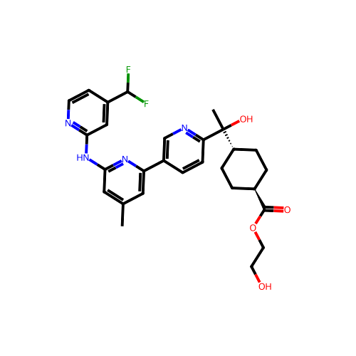 Cc1cc(Nc2cc(C(F)F)ccn2)nc(-c2ccc(C(C)(O)[C@H]3CC[C@H](C(=O)OCCO)CC3)nc2)c1